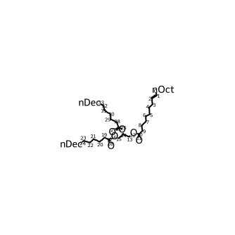 CCCCCCCCC=CCCCCCCCC(=O)OCC(COC(=O)CCCCCCCCCCCCCCC)OC(=O)CCCCCCCCCCCCCCC